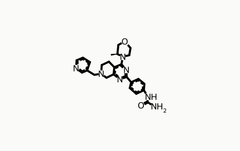 C[C@H]1COCCN1c1nc(-c2ccc(NC(N)=O)cc2)nc2c1CCN(Cc1cccnc1)C2